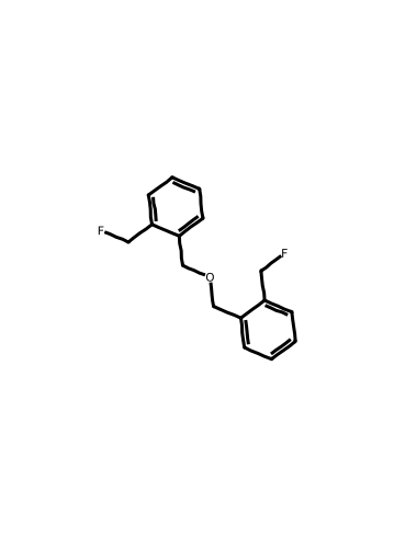 FCc1ccccc1COCc1ccccc1CF